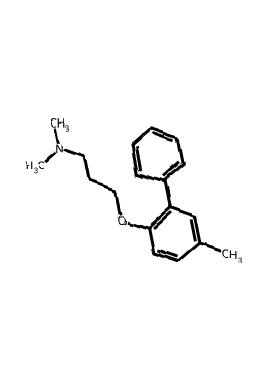 Cc1ccc(OCCCN(C)C)c(-c2ccccc2)c1